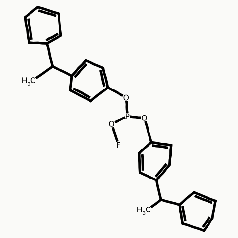 CC(c1ccccc1)c1ccc(OP(OF)Oc2ccc(C(C)c3ccccc3)cc2)cc1